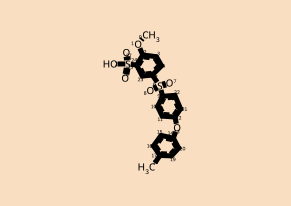 COc1ccc(S(=O)(=O)c2ccc(Oc3ccc(C)cc3)cc2)cc1S(=O)(=O)O